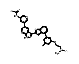 CC(C)C(=O)Nc1cncc(-c2cnc3[nH]nc(-c4cc5c(-c6cc(F)cc(OCCN(C)C)c6)cccc5[nH]4)c3c2)c1